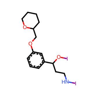 INCCC(OI)c1cccc(OCC2CCCCO2)c1